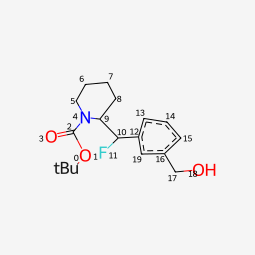 CC(C)(C)OC(=O)N1CCCCC1C(F)c1cccc(CO)c1